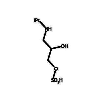 CC(C)NCC(O)COS(=O)(=O)O